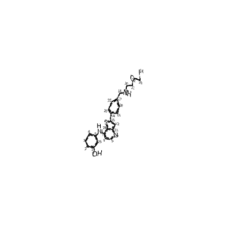 Oc1cccc(Nc2ccnc3cc(-c4ccc(CNCCOCI)cc4)sc23)c1